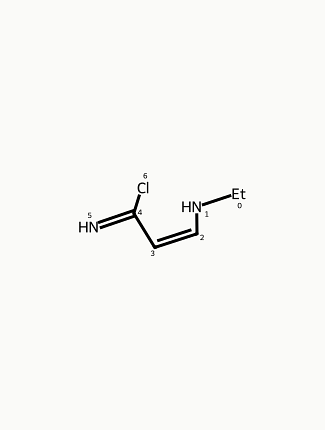 CCN/C=C\C(=N)Cl